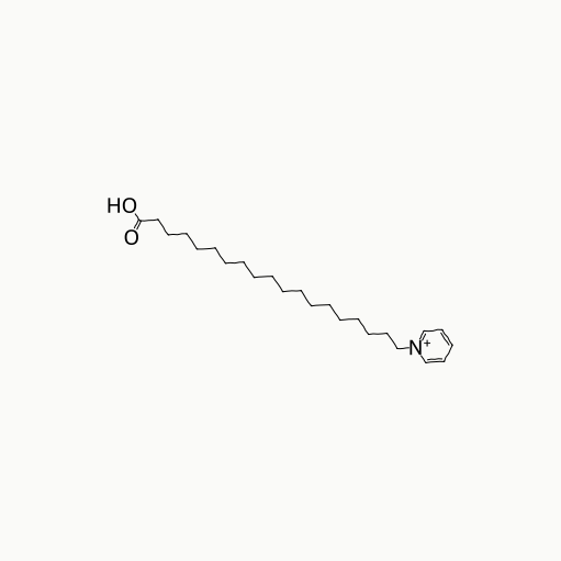 O=C(O)CCCCCCCCCCCCCCCCCC[n+]1ccccc1